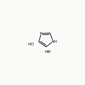 Br.Cl.c1c[nH]cn1